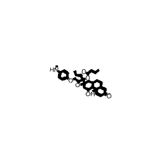 CCCC1OC(CC)C(C(=O)COc2ccc(NC)cc2)(C2(C)CC(O)C3C(CCC4=CC(=O)C=CC43C)C2)O1